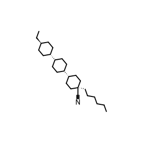 CCCCCC[C@]1(C#N)CC[C@H](C2CCC([C@H]3CC[C@H](CC)CC3)CC2)CC1